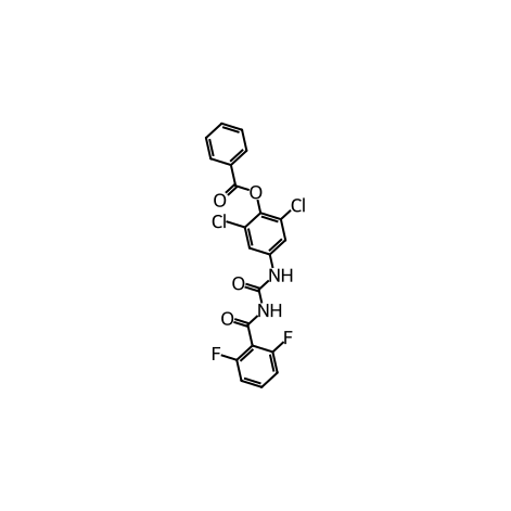 O=C(NC(=O)c1c(F)cccc1F)Nc1cc(Cl)c(OC(=O)c2ccccc2)c(Cl)c1